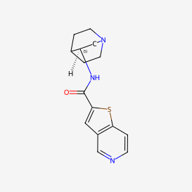 O=C(N[C@@H]1CN2CCC1CC2)c1cc2cnccc2s1